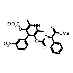 CCOC(=O)OC1=C(C)NC(C)=C(OC(=O)OC(C(=O)OC)c2ccccc2)C1c1cccc([N+](=O)[O-])c1